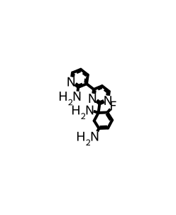 NC1=CC=C(F)C(N)(c2nccc(-c3cccnc3N)n2)C1